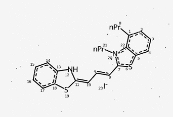 CCCc1cccc2sc(C=CC=C3Nc4ccccc4S3)[n+](CCC)c12.[I-]